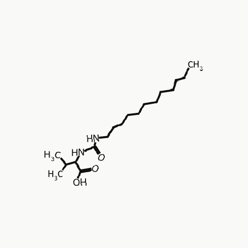 CCCCCCCCCCCCNC(=O)NC(C(=O)O)C(C)C